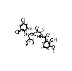 CCC(CC)[C@H](Oc1ccc(Cl)cc1Cl)[C@H](C)OC(=O)[C@H](C)NC(=O)c1nccc(OC)c1O